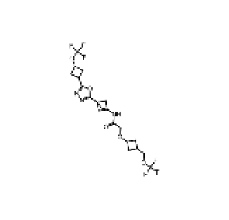 O=C(COC1CC(COC(F)(F)F)C1)NC12CC(c3nnc(C4CC(OC(F)(F)F)C4)o3)(C1)C2